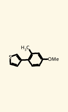 COc1ccc(-c2ccsc2)c(C)c1